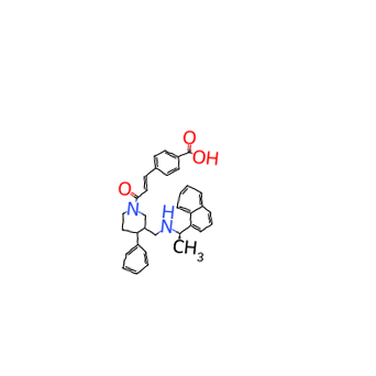 C[C@@H](NCC1CN(C(=O)/C=C/c2ccc(C(=O)O)cc2)CCC1c1ccccc1)c1cccc2ccccc12